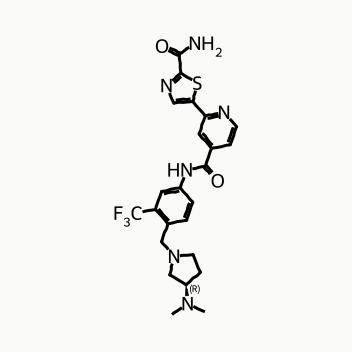 CN(C)[C@@H]1CCN(Cc2ccc(NC(=O)c3ccnc(-c4cnc(C(N)=O)s4)c3)cc2C(F)(F)F)C1